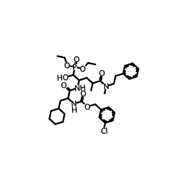 CCOP(=O)(OCC)C(O)C(CC(C)C(=O)N(C)CCc1ccccc1)NC(=O)C(CC1CCCCC1)NC(=O)OCc1cccc(Cl)c1